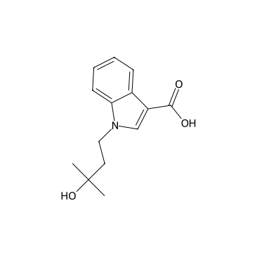 CC(C)(O)CCn1cc(C(=O)O)c2ccccc21